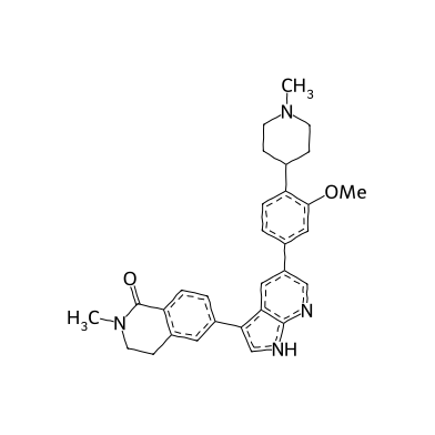 COc1cc(-c2cnc3[nH]cc(-c4ccc5c(c4)CCN(C)C5=O)c3c2)ccc1C1CCN(C)CC1